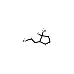 CCC(C)CCC1CCCC1(O)CC